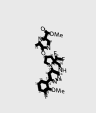 COC(=O)c1cnc(OC2CN3c4cc(-c5cccc(F)c5OC)nnc4NCC3(C(F)F)C2)c(C)n1